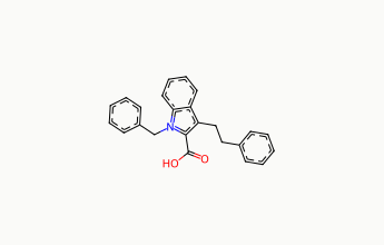 O=C(O)c1c(CCc2ccccc2)c2ccccc2n1Cc1ccccc1